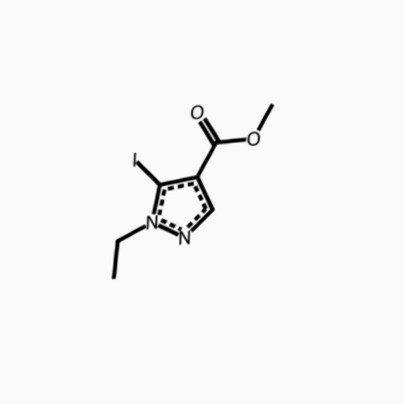 CCn1ncc(C(=O)OC)c1I